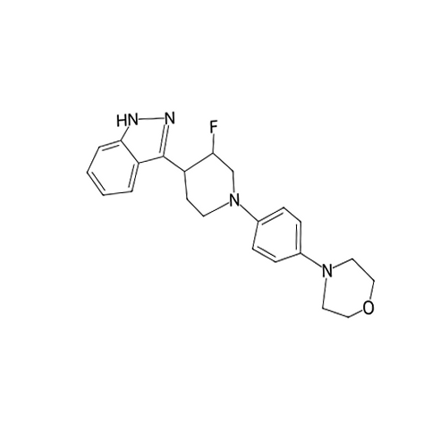 FC1CN(c2ccc(N3CCOCC3)cc2)CCC1c1n[nH]c2ccccc12